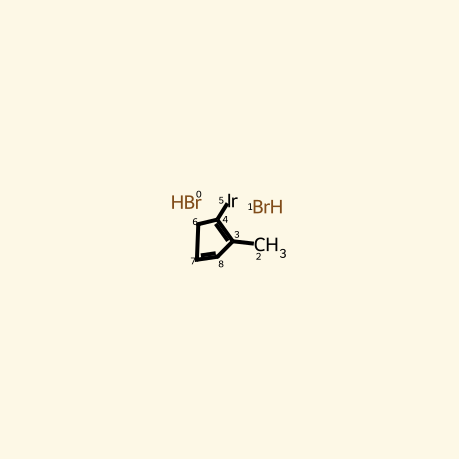 Br.Br.CC1=[C]([Ir])CC=C1